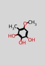 COc1cc(O)c(O)c(O)c1C